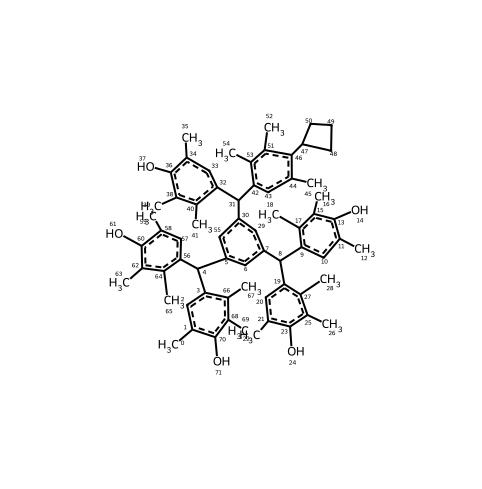 Cc1cc(C(c2cc(C(c3cc(C)c(O)c(C)c3C)c3cc(C)c(O)c(C)c3C)cc(C(c3cc(C)c(O)c(C)c3C)c3cc(C)c(C4CCC4)c(C)c3C)c2)c2cc(C)c(O)c(C)c2C)c(C)c(C)c1O